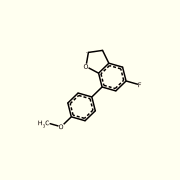 COc1ccc(-c2cc(F)cc3c2O[CH]C3)cc1